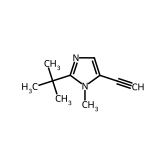 C#Cc1cnc(C(C)(C)C)n1C